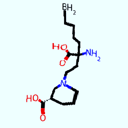 BCCCCC(N)(CCN1CCC[C@H](C(=O)O)C1)C(=O)O